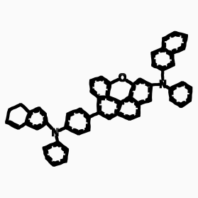 C1=Cc2cc(N(c3ccccc3)c3ccc(-c4cc5ccc6cc(N(c7ccccc7)c7ccc8ccccc8c7)cc7c6c5c5c(cccc45)O7)cc3)ccc2CC1